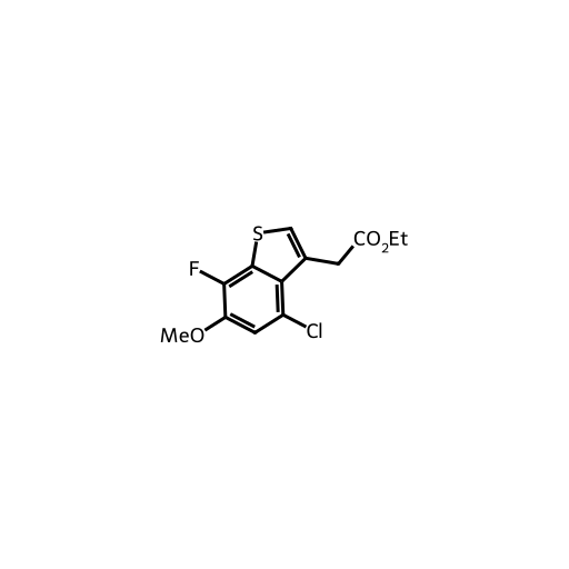 CCOC(=O)Cc1csc2c(F)c(OC)cc(Cl)c12